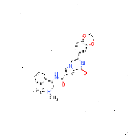 CN(C)CC(NC(=O)c1cc2c(=O)[nH]c(-c3ccc4c(c3)OCCO4)cn2c1)c1ccccc1